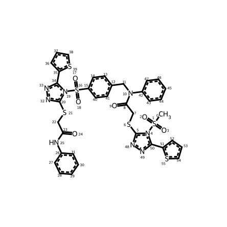 CS(=O)(=O)n1c(SCC(=O)N(Cc2ccc(S(=O)(=O)n3c(SCC(=O)Nc4ccccc4)nnc3-c3cccs3)cc2)c2ccccc2)nnc1-c1cccs1